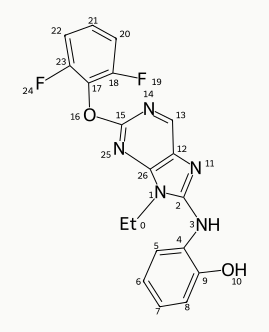 CCn1c(Nc2ccccc2O)nc2cnc(Oc3c(F)cccc3F)nc21